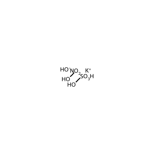 O=S(=O)(O)O.O=[N+]([O-])O.[K+].[OH-]